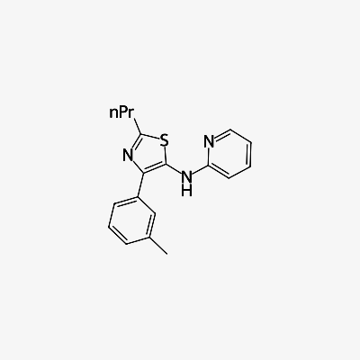 CCCc1nc(-c2cccc(C)c2)c(Nc2ccccn2)s1